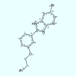 CC(C)CCOc1cccc(-c2nc3ncc(Br)cc3[nH]2)c1